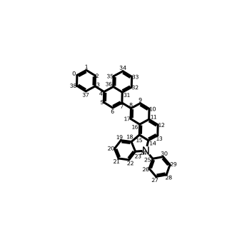 c1ccc(-c2ccc(-c3ccc4ccc5c(c4c3)c3ccccc3n5-c3ccccc3)c3ccccc23)cc1